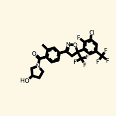 Cc1cc(C2=NOC(c3cc(C(F)(F)F)cc(Cl)c3F)(C(F)(F)F)C2)ccc1C(=O)N1CCC(O)C1